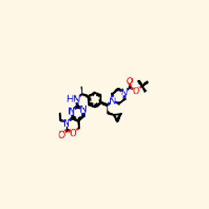 CCN1C(=O)OCc2cnc(N[C@@H](C)c3ccc([C@H](CC4CC4)N4CCN(C(=O)OC(C)(C)C)CC4)cc3)nc21